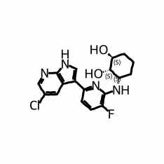 O[C@H]1[C@@H](Nc2nc(-c3c[nH]c4ncc(Cl)cc34)ccc2F)CCC[C@@H]1O